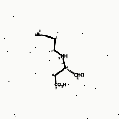 CC(C)(C)CCN[C@H](C=O)CC(=O)O